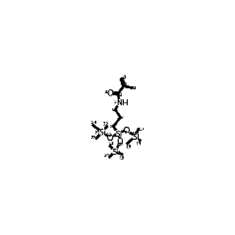 C=C(C)C(=O)NCCC[Si](O[Si](C)(C)C)(O[Si](C)(C)C)O[Si](C)(C)C